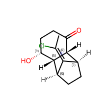 C/C(Cl)=C1/[C@H]2CC[C@@H]1[C@H]1C(=O)CC[C@@H](O)[C@H]12